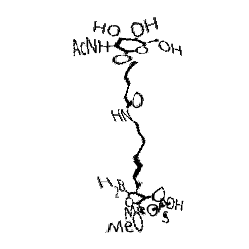 B[C@@H]1O[C@H](COC)C(OP(O)(=S)OC)[C@@H]1C/C=C/CCCCNC(=O)CCCCO[C@@H]1O[C@H](CO)[C@H](O)[C@H](O)[C@H]1NC(C)=O